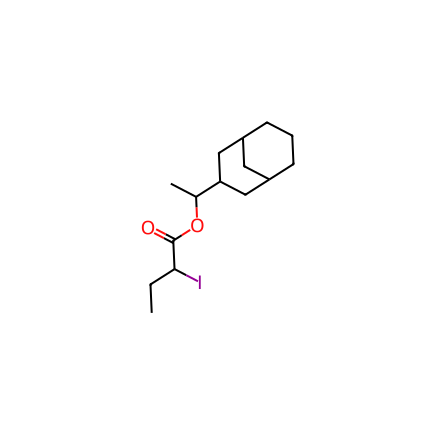 CCC(I)C(=O)OC(C)C1CC2CCCC(C2)C1